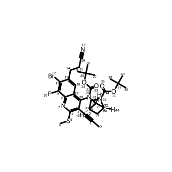 CC#Cc1c(SC)nc2c(F)c(Br)c(CCC#N)cc2c1N(C(=O)OC(C)(C)C)[C@H]1[C@H]2C[C@H]1N(C(=O)OC(C)(C)C)C2